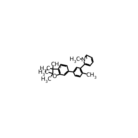 Cc1ccc(-c2ccc3c(c2)OC(C)(C)C3(C)C)cc1-c1cccc[n+]1C